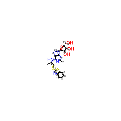 Cc1nc(N[C@H](C)CSc2nc3ccccc3s2)c2ncn([C@@H]3O[C@H](CO)C(O)C3O)c2n1